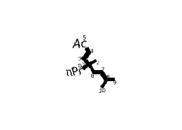 CCCC(C)(/C=C/C(C)=O)CC=C(C)C